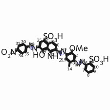 COc1cc(/N=N/c2ccccc2S(=O)(=O)O)c(C)cc1/N=N/c1ccc2c(S(=O)(=O)O)cc(/N=N/c3ccc([N+](=O)[O-])cc3)c(O)c2c1N